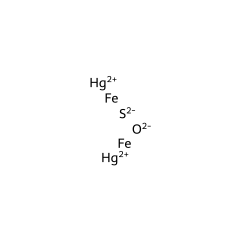 [Fe].[Fe].[Hg+2].[Hg+2].[O-2].[S-2]